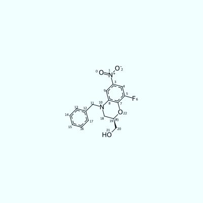 O=[N+]([O-])c1cc(F)c2c(c1)N(Cc1ccccc1)C[C@H](CO)O2